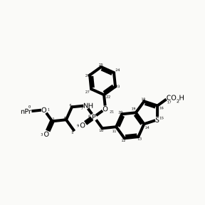 CCCOC(=O)C(C)CNP(=O)(Cc1ccc2sc(C(=O)O)cc2c1)Oc1ccccc1